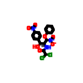 O=C(N[C@H](C(Oc1ccccc1)[N+](=O)[O-])[C@H](O)c1ccc([N+](=O)[O-])cc1)C(Cl)Cl